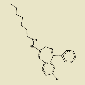 CCCCCCCNNC1=Nc2ccc(Cl)cc2C(c2ccccc2)=NC1